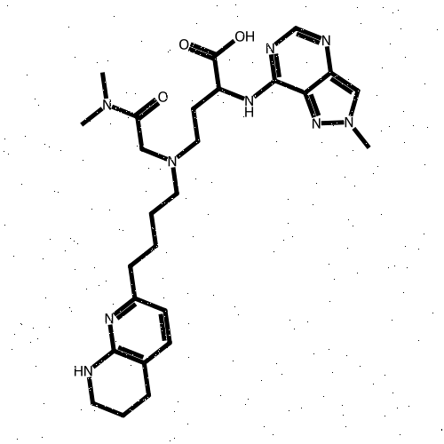 CN(C)C(=O)CN(CCCCc1ccc2c(n1)NCCC2)CCC(Nc1ncnc2cn(C)nc12)C(=O)O